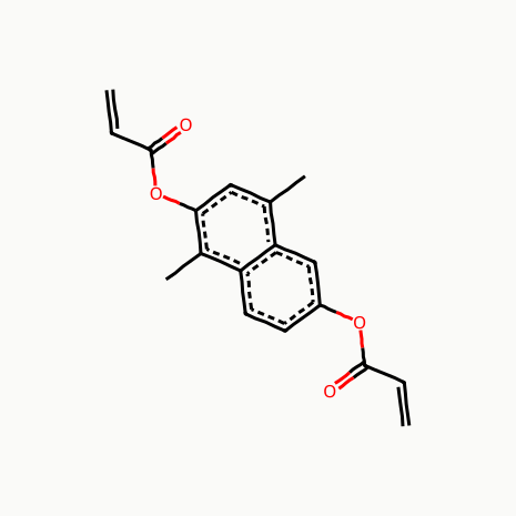 C=CC(=O)Oc1ccc2c(C)c(OC(=O)C=C)cc(C)c2c1